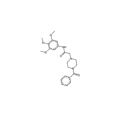 COc1cc(NC(=O)CN2CCN(C(=O)c3ccccc3)CC2)cc(OC)c1OC